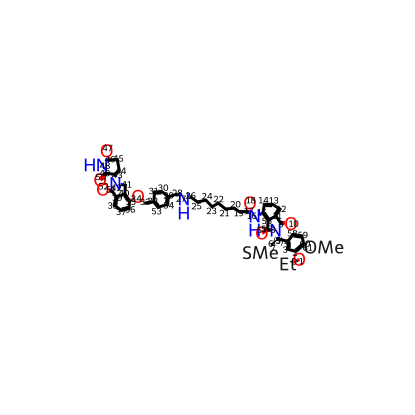 CCOc1cc([C@@H](CSC)N2C(=O)c3cccc(NC(=O)CCCCCCCCNCc4ccc(COc5cccc6c5CN(C5CCC(=O)NC5=O)C6=O)cc4)c3C2=O)ccc1OC